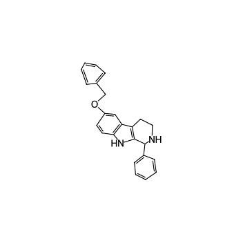 c1ccc(COc2ccc3[nH]c4c(c3c2)CCNC4c2ccccc2)cc1